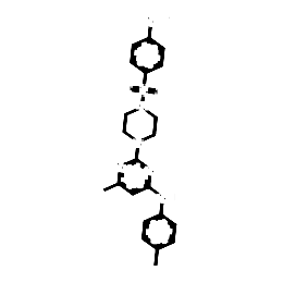 CC(=O)Nc1ccc(S(=O)(=O)N2CCN(c3nc(C)cc(Nc4ccc(C)cc4)n3)CC2)cc1